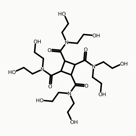 O=C(C1C(C(=O)N(CCO)CCO)C(C(=O)N(CCO)CCO)C1C(=O)N(CCO)CCO)N(CCO)CCO